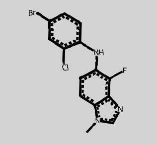 Cn1cnc2c(F)c(Nc3ccc(Br)cc3Cl)ccc21